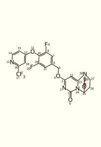 O=c1nc(OCc2cc(F)c(Oc3ccnc(C(F)(F)F)c3)c(F)c2)cc2n1C1CCN2CCOC1